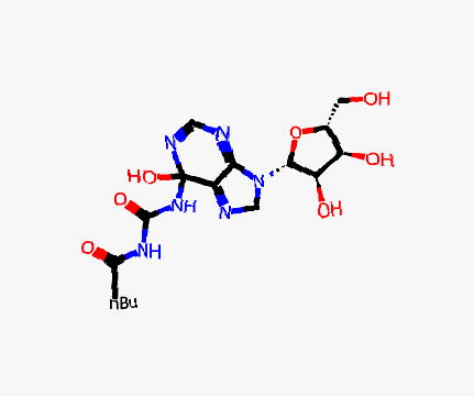 CCCCC(=O)NC(=O)NC1(O)N=CN=C2C1=NCN2[C@@H]1O[C@H](CO)[C@@H](O)[C@H]1O